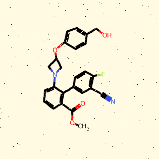 COC(=O)c1cccc(N2CC(Oc3ccc(CO)cc3)C2)c1-c1ccc(F)c(C#N)c1